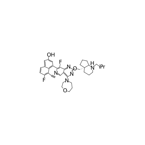 C#Cc1c(F)ccc2cc(O)cc(-c3ncc4c(N5CCCOCC5)nc(OC[C@]56CCC[C@H]5N(CC(C)C)CCC6)nc4c3F)c12